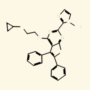 Cn1ccnc1-c1nc(NCCOC2CC2)c2c(-c3ccccc3)c(-c3ccccc3)sc2n1